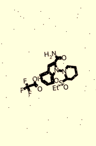 CCS(=O)(=O)C1CCCCN1n1c(C(N)=O)cc2ccccc21.O=C(O)C(F)(F)F